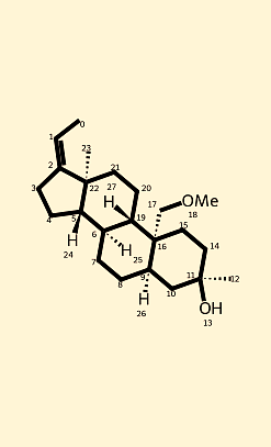 C/C=C1/CC[C@H]2[C@@H]3CC[C@@H]4C[C@](C)(O)CC[C@]4(COC)[C@H]3CC[C@]12C